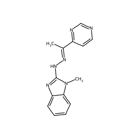 C/C(=N\Nc1nc2ccccc2n1C)c1ccncn1